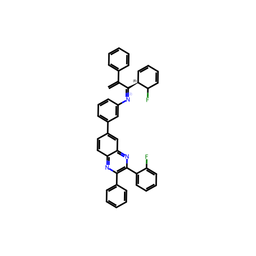 C=C(/C(=N\c1cccc(-c2ccc3nc(-c4ccccc4)c(-c4ccccc4F)nc3c2)c1)[C@H]1C=CC=CC1F)c1ccccc1